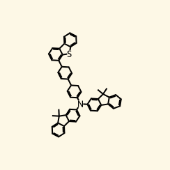 CC1(C)c2ccccc2-c2ccc(N(C3=CCC(C4=CCC(c5cccc6c5sc5ccccc56)C=C4)C=C3)c3ccc4c(c3)C(C)(C)c3ccccc3-4)cc21